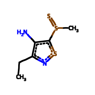 CCc1nsc(S(C)=S)c1N